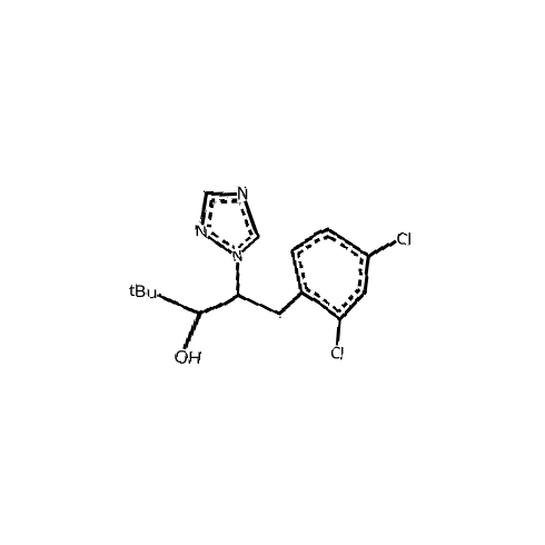 CC(C)(C)C(O)C([CH]c1ccc(Cl)cc1Cl)n1cncn1